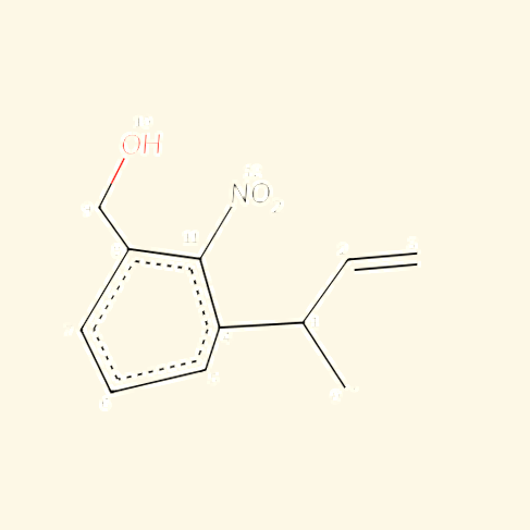 [CH2]C(C=C)c1cccc(CO)c1[N+](=O)[O-]